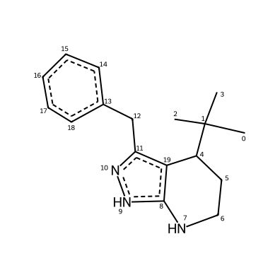 CC(C)(C)C1CCNc2[nH]nc(Cc3ccccc3)c21